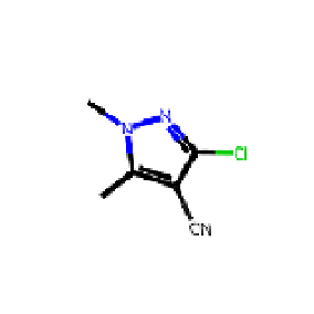 Cc1c(C#N)c(Cl)nn1C